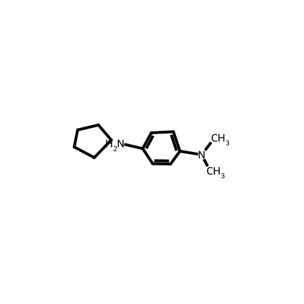 C1CCCC1.CN(C)c1ccc(N)cc1